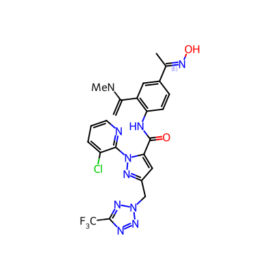 C=C(NC)c1cc(/C(C)=N/O)ccc1NC(=O)c1cc(Cn2nnc(C(F)(F)F)n2)nn1-c1ncccc1Cl